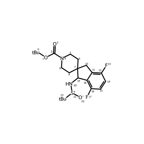 CC(C)(C)OC(=O)N1CCC2(CC1)Cc1c(F)ccc(F)c1C2N[S+]([O-])C(C)(C)C